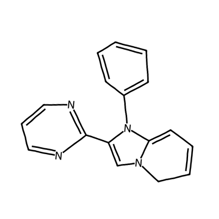 C1=CCN2C=C(c3ncccn3)N(c3ccccc3)C2=C1